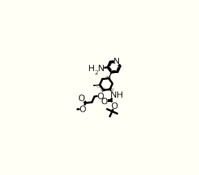 COC(=O)CCO[C@@H]1[C@@H](C)C[C@@H](c2ccncc2N)C[C@H]1NC(=O)OC(C)(C)C